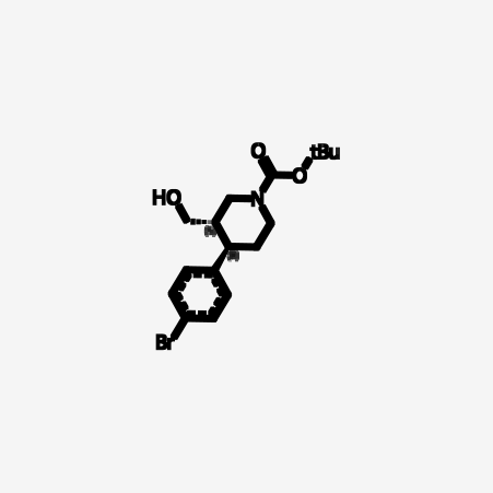 CC(C)(C)OC(=O)N1CC[C@@H](c2ccc(Br)cc2)[C@H](CO)C1